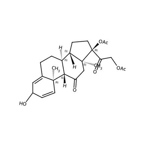 CC(=O)OCC(=O)[C@@]1(OC(C)=O)CC[C@H]2[C@@H]3CCC4=CC(O)C=C[C@]4(C)[C@H]3C(=O)C[C@@]21C